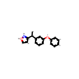 CC(c1cccc(Oc2ccccc2)c1)c1ccon1